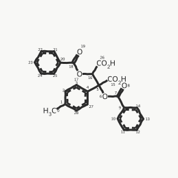 Cc1ccc(C(OC(=O)c2ccccc2)(C(=O)O)C(OC(=O)c2ccccc2)C(=O)O)cc1